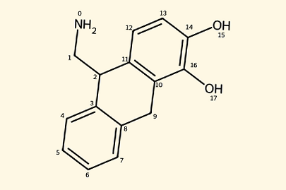 NCC1c2ccccc2Cc2c1ccc(O)c2O